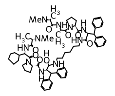 CN[C@@H](C)C(=O)N[C@@H](C)C(=O)N1CCC[C@H]1C(=O)N[C@H](C(=O)NCCCCCCNC(O)[C@@H](NC(=O)[C@@H]1CCCN1C(=O)[C@@H](NC(=O)[C@H](C)NC)C1CCCCC1)C(c1ccccc1)c1ccccc1)C(c1ccccc1)c1ccccc1